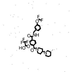 C[C@@H]1CCCN(C2CCN(C(=O)c3ccc(C(=O)NCc4cccc(OC(F)F)c4)cc3)CC2)C1.O=C(O)C(F)(F)F